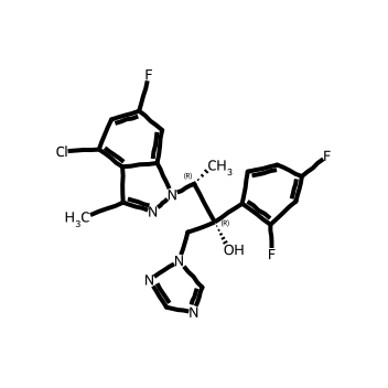 Cc1nn([C@H](C)[C@](O)(Cn2cncn2)c2ccc(F)cc2F)c2cc(F)cc(Cl)c12